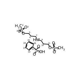 CS(=O)(=O)OCCCNCCCOS(C)(=O)=O.O=S(=O)(O)c1ccccc1